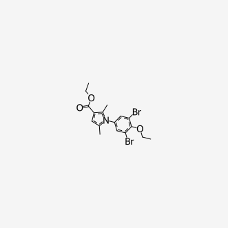 CCOC(=O)c1cc(C)n(-c2cc(Br)c(OCC)c(Br)c2)c1C